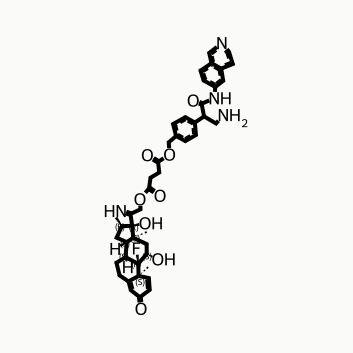 C[C@@H]1C[C@H]2[C@@H]3CCC4=CC(=O)C=C[C@]4(C)[C@@]3(F)[C@@H](O)C[C@]2(C)[C@@]1(O)C(=N)COC(=O)CCC(=O)OCc1ccc(C(CN)C(=O)Nc2ccc3cnccc3c2)cc1